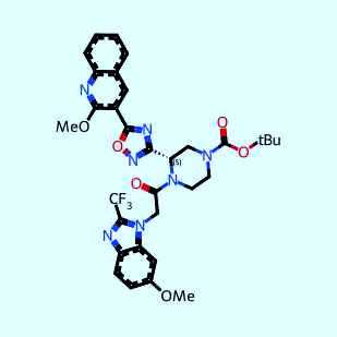 COc1ccc2nc(C(F)(F)F)n(CC(=O)N3CCN(C(=O)OC(C)(C)C)C[C@H]3c3noc(-c4cc5ccccc5nc4OC)n3)c2c1